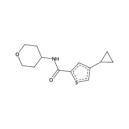 O=C(NC1CCOCC1)c1cc(C2CC2)cs1